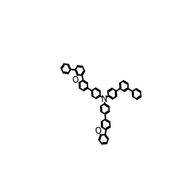 c1ccc(-c2cccc(-c3ccc(N(c4ccc(-c5ccc6c(c5)oc5ccccc56)cc4)c4ccc(-c5ccc6oc7c(-c8ccccc8)cccc7c6c5)cc4)cc3)c2)cc1